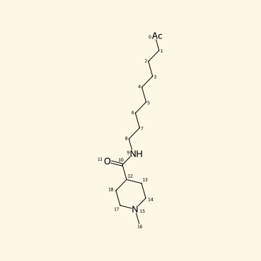 CC(=O)CCCCCCCCNC(=O)C1CCN(C)CC1